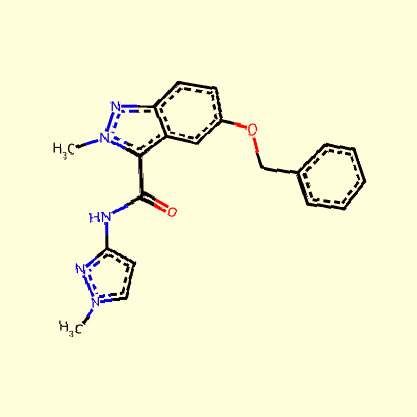 Cn1ccc(NC(=O)c2c3cc(OCc4ccccc4)ccc3nn2C)n1